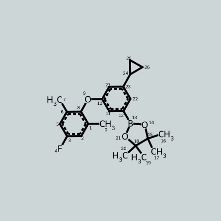 Cc1cc(F)cc(C)c1Oc1cc(B2OC(C)(C)C(C)(C)O2)cc(C2CC2)c1